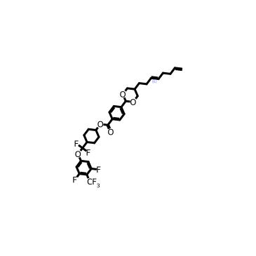 C=CCC/C=C/CCC1COC(c2ccc(C(=O)OC3CCC(C(F)(F)Oc4cc(F)c(C(F)(F)F)c(F)c4)CC3)cc2)OC1